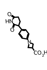 O=C1CCC(c2ccc(N3CC(C(=O)O)C3)cc2)C(=O)N1